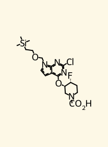 C[Si](C)(C)CCOCn1ccc2c(O[C@@H]3CN(C(=O)O)CC[C@H]3F)nc(Cl)nc21